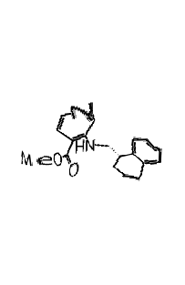 COC(=O)c1ccncc1NC[C@H]1CCCc2ccccc21